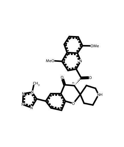 COc1cc(C(=O)[C@H]2C(=O)c3cc(-c4nnnn4C)ccc3OC23CCNCC3)nc2c(OC)cccc12